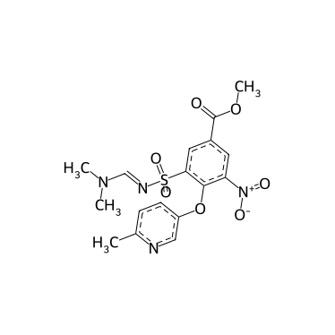 COC(=O)c1cc([N+](=O)[O-])c(Oc2ccc(C)nc2)c(S(=O)(=O)/N=C/N(C)C)c1